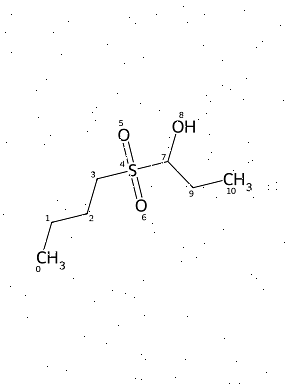 CCCCS(=O)(=O)C(O)CC